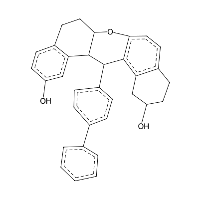 Oc1ccc2c(c1)C1C(CC2)Oc2ccc3c(c2C1c1ccc(-c2ccccc2)cc1)CC(O)CC3